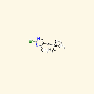 Cc1nc(Br)ncc1C#C[Si](C)(C)C